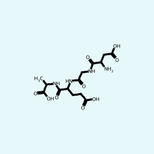 CC(NC(=O)C(CCC(=O)O)NC(=O)CNC(=O)C(N)CC(=O)O)C(=O)O